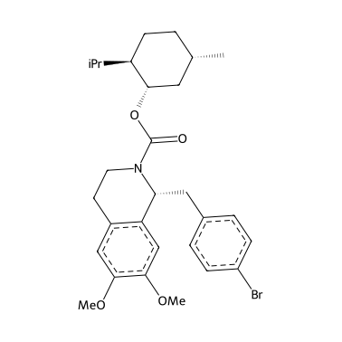 COc1cc2c(cc1OC)[C@@H](Cc1ccc(Br)cc1)N(C(=O)O[C@H]1C[C@@H](C)CC[C@@H]1C(C)C)CC2